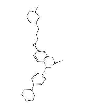 CC1CN(CCCOc2ccc3c(c2)CN(C)CC3c2ccc(N3CCOCC3)cc2)CCO1